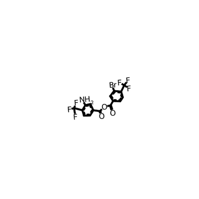 Nc1cc(C(=O)OC(=O)c2ccc(C(F)(F)F)c(Br)c2)ccc1C(F)(F)F